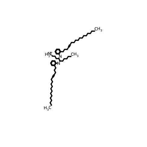 CCCCCCCCCCCCCC#CCCCc1ccccc1/N=C(CCCCCC)\C(CCCC)=N\c1ccccc1CCCC#CCCCCCCCCCCCCC.[Ni]